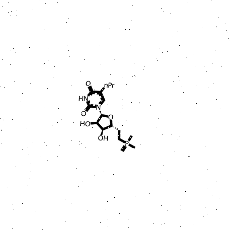 C=P(C)(C)CC[C@H]1O[C@@H](n2cc(CCC)c(=O)[nH]c2=O)C(O)[C@@H]1O